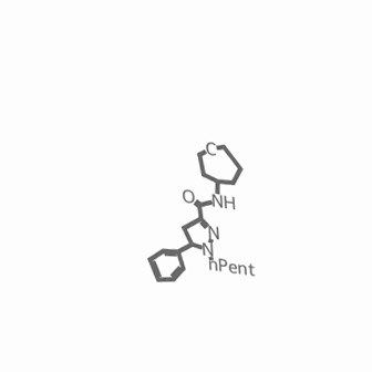 CCCCCN1N=C(C(=O)NC2CCCCCC2)CC1c1ccccc1